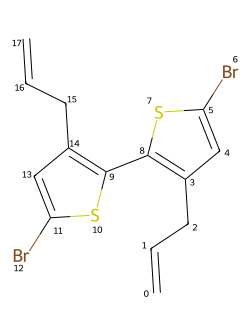 C=CCc1cc(Br)sc1-c1sc(Br)cc1CC=C